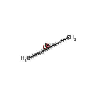 CCCCCCCCCCCCCCCCCCC(CCCCCCCCCCCCCCCC)C(=O)[O-].[Na+]